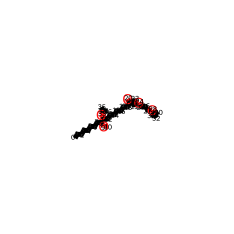 CCCCCCCCC(OC)C(CCCCCCCC(=O)C(C)(C)OCCCOC(C)(C)C)OC(C)C